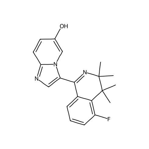 CC1(C)N=C(c2cnc3ccc(O)cn23)c2cccc(F)c2C1(C)C